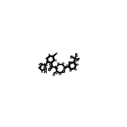 Cc1ccc(N2N=CCN2)c(C(=O)N2CCN(c3cccc(C(F)(F)F)n3)OC[C@H]2C)c1